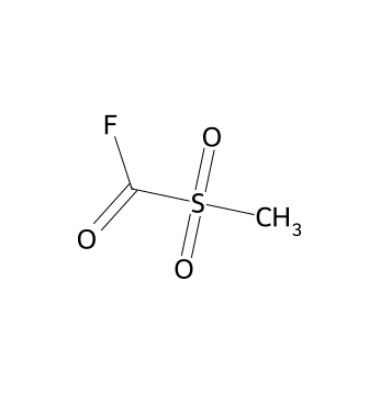 CS(=O)(=O)C(=O)F